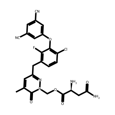 Cc1cc(Cc2ccc(Cl)c(Oc3cc(C#N)cc(C#N)c3)c2F)nn(COC(=O)[C@@H](N)CC(N)=O)c1=O